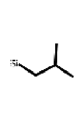 CC(C)C[Si]